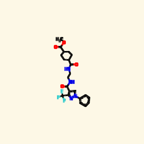 COC(=O)C1CCC(C(=O)NCCNC(=O)c2cn(-c3ccccc3)nc2C(F)(F)F)CC1